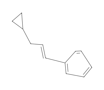 C(=Cc1ccccc1)CC1CC1